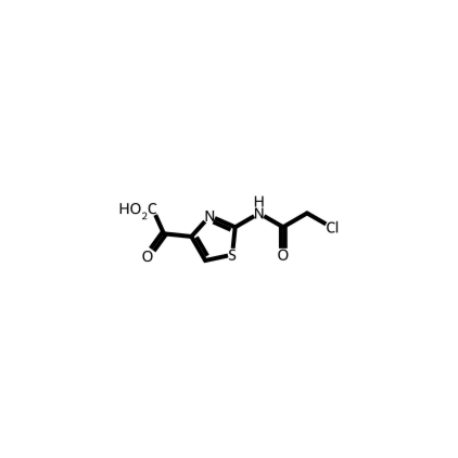 O=C(CCl)Nc1nc(C(=O)C(=O)O)cs1